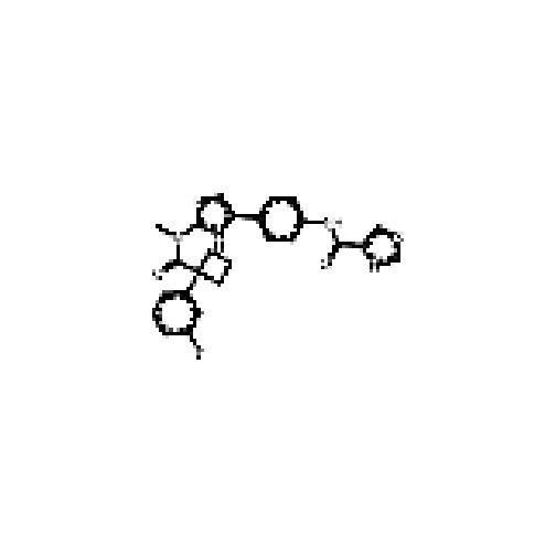 CN(C(=O)C1(c2cccc(Cl)c2)CCC1)c1ncc(-c2ccc(NC(=O)c3cscn3)cc2)[nH]1